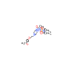 CC(=O)c1ccc(OCCCN2CCN(C(=O)[C@@H](C)NS(=O)(=O)N(C)C)CC2)cc1